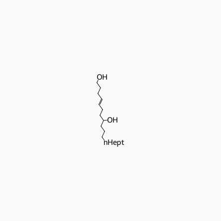 CCCCCCCCCCC(O)CC/C=C/CCCO